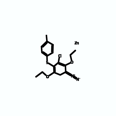 CCOC1=C(Sc2ccc(C)cc2)C(Cl)=C(OCC)C(=[N+]=[N-])C1.[Zn]